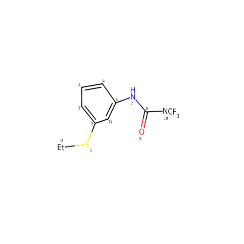 CCSc1cccc(NC(=O)NC(F)(F)F)c1